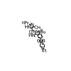 CCCCc1ccc(S(=O)(=O)N2CCN(CC)CC2)cc1C(=N)NC(=O)c1[nH]c(CCC)nc1C